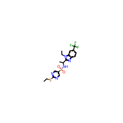 CCSc1ncc(S(=O)(=O)NC(C)c2nc3ccc(C(F)(F)F)cc3n2CC)cn1